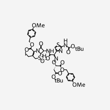 COc1ccc(COC(=O)C2=C(CI)C[S@@+]([O-])[C@@H]3[C@H](NC(=O)/C(=N\O[C@@H](CC(=O)OC(C)(C)C)C(=O)OCc4ccc(OC)cc4)c4csc(NC(=O)OC(C)(C)C)n4)C(=O)N23)cc1